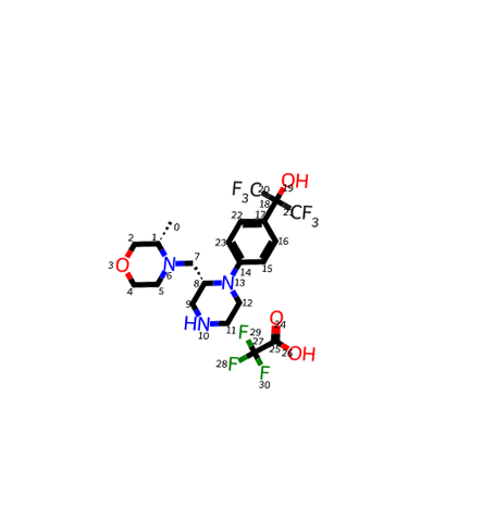 C[C@H]1COCCN1C[C@H]1CNCCN1c1ccc(C(O)(C(F)(F)F)C(F)(F)F)cc1.O=C(O)C(F)(F)F